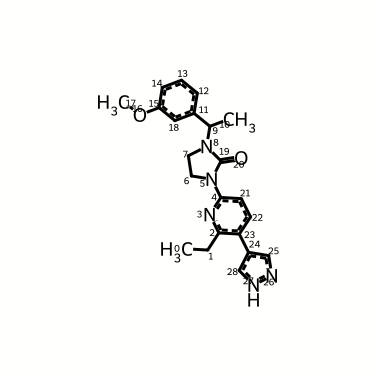 CCc1nc(N2CCN(C(C)c3cccc(OC)c3)C2=O)ccc1-c1cn[nH]c1